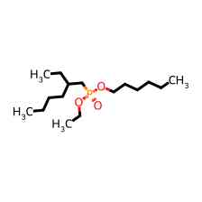 CCCCCCOP(=O)(CC(CC)CCCC)OCC